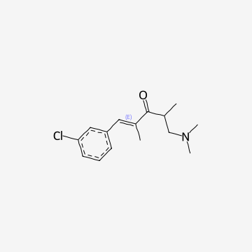 C/C(=C\c1cccc(Cl)c1)C(=O)C(C)CN(C)C